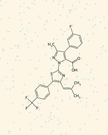 CC(C)=Cc1nc(-n2nc(C)c(-c3cccc(F)c3)c2C(=O)O)sc1-c1ccc(C(F)(F)F)cc1